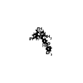 C=CC(=O)N1C2C[C@@H](C1c1nc(-c3ccc(C(=O)Nc4cc(C(F)(F)F)ccn4)cc3)c3c(N)nccn13)N(C(C)C)C2